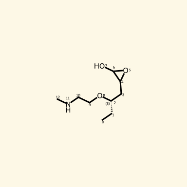 CC[C@@H](CC1OC1O)OCCNC